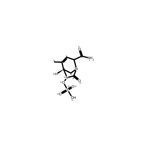 CC1=CC(C(N)=O)N2C[C@@H]1N(OS(=O)(=O)O)C2=O